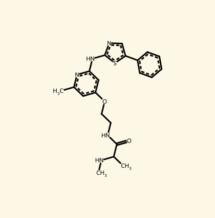 CNC(C)C(=O)NCCOc1cc(C)nc(Nc2ncc(-c3ccccc3)s2)c1